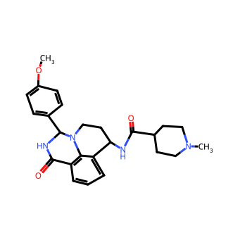 COc1ccc(C2NC(=O)c3cccc4c3N2CCC4NC(=O)C2CCN(C)CC2)cc1